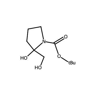 CC(C)(C)OC(=O)N1CCCC1(O)CO